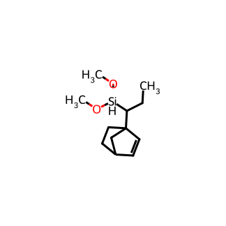 CCC([SiH](OC)OC)C12C=CC(CC1)C2